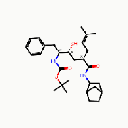 CC(C)=CC[C@H](C[C@@H](O)[C@H](Cc1ccccc1)NC(=O)OC(C)(C)C)C(=O)NC1CC2CCC1C2